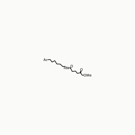 COCC(=O)CCCC(=O)NCCCCCCCC(C)=O